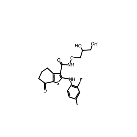 Cc1ccc(Nc2sc3c(c2C(=O)NOCC(O)CO)CCCC3=O)c(F)c1